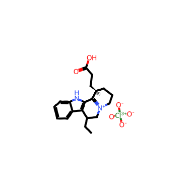 CCC1C[N+]2=C(c3[nH]c4ccccc4c31)[C@@H](CCC(=O)O)CCC2.[O-][Cl+3]([O-])([O-])[O-]